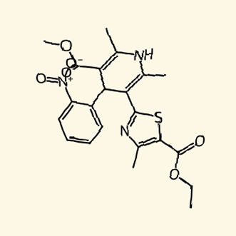 CCOC(=O)c1sc(C2=C(C)NC(C)=C(C(=O)OC)C2c2ccccc2[N+](=O)[O-])nc1C